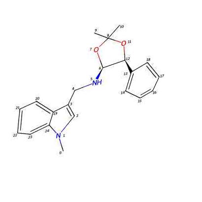 Cn1cc(CN[C@H]2OC(C)(C)O[C@H]2c2ccccc2)c2ccccc21